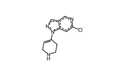 Clc1cc2c(cn1)cnn2C1=CCNCC1